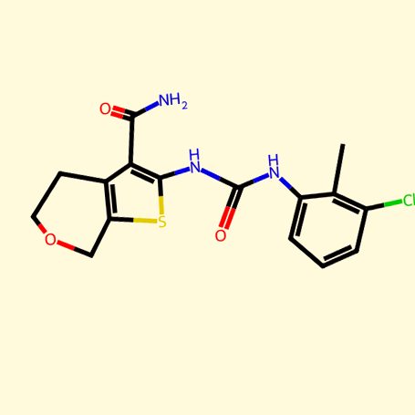 Cc1c(Cl)cccc1NC(=O)Nc1sc2c(c1C(N)=O)CCOC2